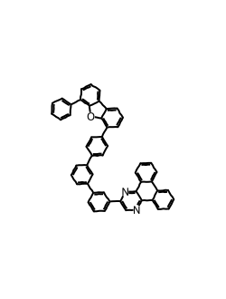 c1ccc(-c2cccc3c2oc2c(-c4ccc(-c5cccc(-c6cccc(-c7cnc8c9ccccc9c9ccccc9c8n7)c6)c5)cc4)cccc23)cc1